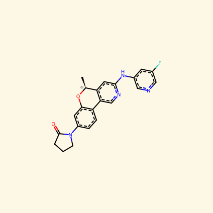 C[C@@H]1Oc2cc(N3CCCC3=O)ccc2-c2cnc(Nc3cncc(F)c3)cc21